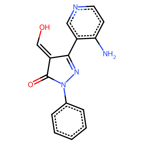 Nc1ccncc1C1=NN(c2ccccc2)C(=O)/C1=C/O